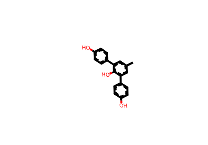 Cc1cc(-c2ccc(O)cc2)c(O)c(-c2ccc(O)cc2)c1